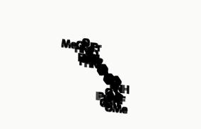 COC(=O)N[C@H](C(=O)N1CC(F)(F)C[C@H]1c1ncc(-c2ccc(-c3ccc4c(ccc5[nH]c([C@@H]6CC(F)(F)CN6C(=O)[C@@H](NC(=O)OC)C(C)C)nc54)c3)cc2)[nH]1)C(C)C